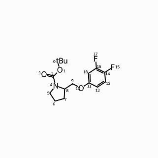 CC(C)(C)OC(=O)N1CCCC1COc1ccc(F)c(F)c1